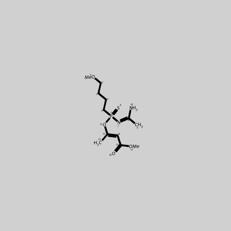 COCCCCP(=S)(N=C(C)N)OC(C)=CC(=O)OC